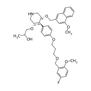 COc1ccc(F)cc1COCCCOc1ccc([C@@H]2[C@@H](OCc3cc(OC)c4ccccc4c3)CNC[C@H]2OCC(C)O)cc1